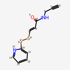 C#CCNC(=O)C=CSSc1ccccn1